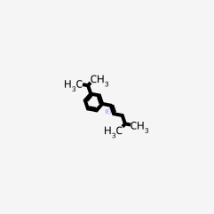 CC(C)C/C=C/c1cccc(C(C)C)c1